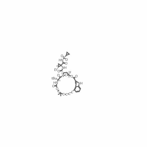 CC[C@@H]1C[C@]1(NC(=O)[C@@H]1C[C@@H]2CN1C(=O)[C@H](C(C)(C)C)NC(=O)OCC(C)(C)CCCCc1cccc3[nH]c(cc13)C(=O)O2)C(=O)NS(=O)(=O)C1CC1